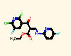 CCOC(=O)C(=CNc1ccc(F)cn1)C(=O)c1cc(F)c(Cl)nc1Cl